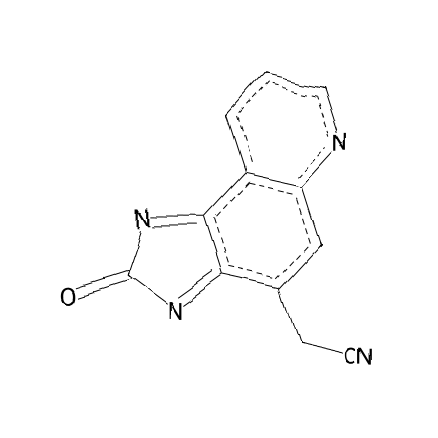 N#CCc1cc2ncccc2c2c1=NC(=O)N=2